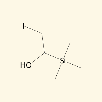 C[Si](C)(C)C(O)CI